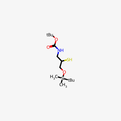 CC(C)(C)OC(=O)NCC(S)CO[Si](C)(C)C(C)(C)C